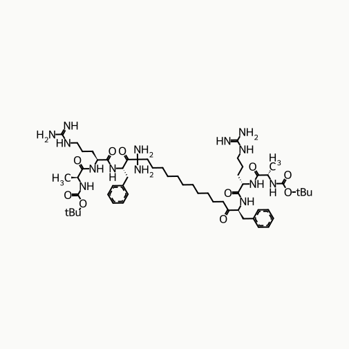 C[C@H](NC(=O)OC(C)(C)C)C(=O)N[C@@H](CCCNC(=N)N)C(=O)N[C@@H](Cc1ccccc1)C(=O)CCCCCCCCCCCC(N)(N)C(=O)[C@H](Cc1ccccc1)NC(=O)[C@H](CCCNC(=N)N)NC(=O)[C@H](C)NC(=O)OC(C)(C)C